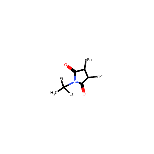 CCCCC1C(=O)N(C(C)(CC)CC)C(=O)C1CCC